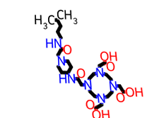 CC(C)CCCNC(=O)CN1CCC(NC(=O)CN2CCN(CC(=O)O)CCN(CC(=O)O)CCN(CC(=O)O)CC2)CC1